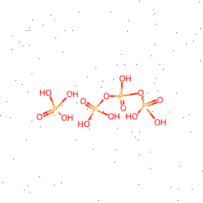 O=P(O)(O)O.O=P(O)(O)OP(=O)(O)OP(=O)(O)O